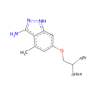 CCCCCCC(CCC)COc1cc(C)c2c(N)n[nH]c2c1